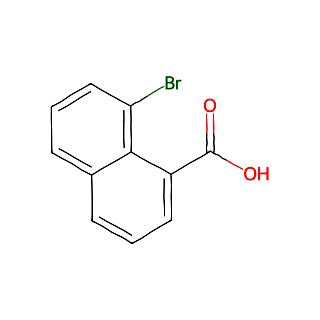 O=C(O)c1cccc2cccc(Br)c12